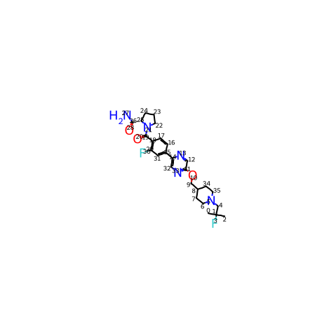 CC(C)(F)CN1CCC(COc2cnc(-c3ccc(C(=O)N4CCC[C@H]4C(N)=O)c(F)c3)cn2)CC1